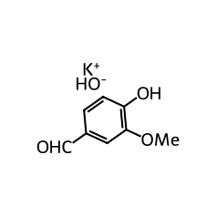 COc1cc(C=O)ccc1O.[K+].[OH-]